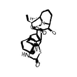 C=C[C@@H]1CN(Cc2ccccn2)C(=O)C2CCC[C@H]1N2S(=O)(=O)c1ccc2[nH]c(=O)sc2c1